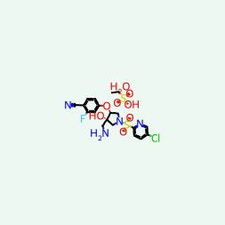 CCS(=O)(=O)O.N#Cc1ccc(O[C@H]2CN(S(=O)(=O)c3ccc(Cl)cn3)C[C@@]2(O)CN)cc1F.O